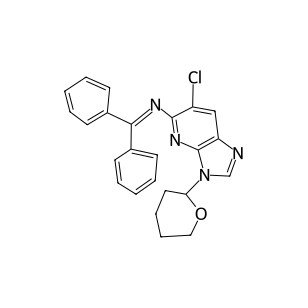 Clc1cc2ncn(C3CCCCO3)c2nc1N=C(c1ccccc1)c1ccccc1